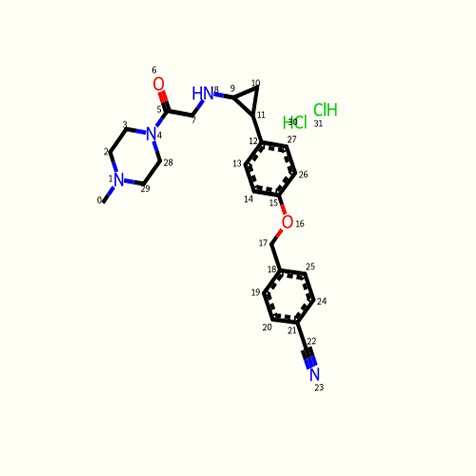 CN1CCN(C(=O)CNC2CC2c2ccc(OCc3ccc(C#N)cc3)cc2)CC1.Cl.Cl